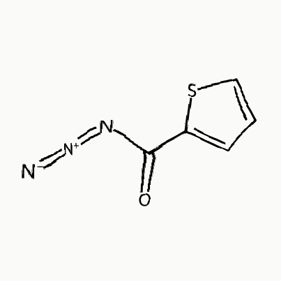 [N-]=[N+]=NC(=O)c1cccs1